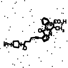 CC(NC(=O)O)c1nn2ccc(C#CCCCC(=O)N3CCN(C(C)C)CC3)c2c(=O)n1-c1ccccc1